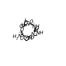 C[C@@H]1C[C@H]2C(=O)O[C@@H](C)[C@H](N)C(=O)N3CCC[C@H]3C(=O)N3CCNC[C@H]3C(=O)N[C@@H](C)C(=O)N2C1